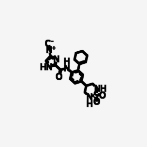 [C-]#[N+]c1c[nH]c(C(=O)Nc2ccc(C3CNS(=O)(=O)NC3)cc2C2=CCCCC2)n1